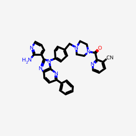 N#Cc1cccnc1C(=O)N1CCN(Cc2ccc(-n3c(-c4cccnc4N)nc4ccc(-c5ccccc5)nc43)cc2)CC1